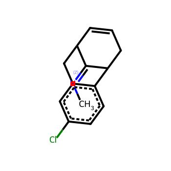 C/N=C1/C2C=CCC1c1ccc(Cl)cc1C2